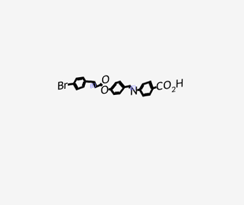 O=C(/C=C/c1ccc(Br)cc1)Oc1ccc(/C=N/c2ccc(C(=O)O)cc2)cc1